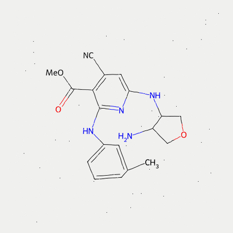 COC(=O)c1c(C#N)cc(NC2COCC2N)nc1Nc1cccc(C)c1